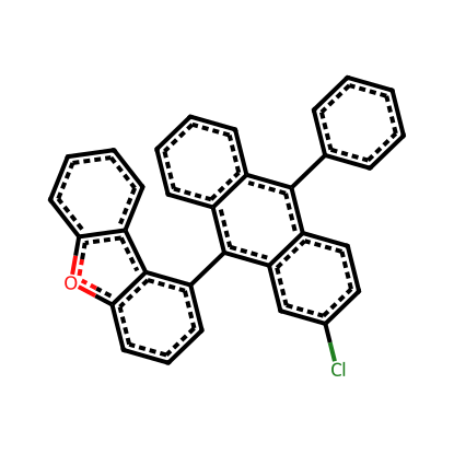 Clc1ccc2c(-c3ccccc3)c3ccccc3c(-c3cccc4oc5ccccc5c34)c2c1